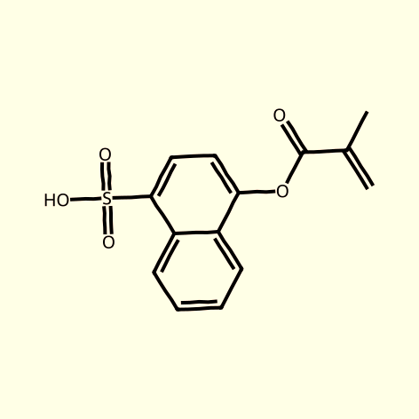 C=C(C)C(=O)Oc1ccc(S(=O)(=O)O)c2ccccc12